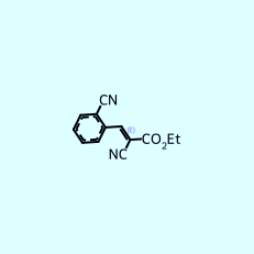 CCOC(=O)/C(C#N)=C/c1ccccc1C#N